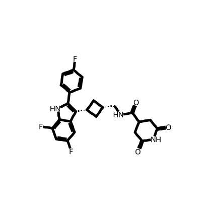 O=C1CC(C(=O)NC[C@H]2C[C@@H](c3c(-c4ccc(F)cc4)[nH]c4c(F)cc(F)cc43)C2)CC(=O)N1